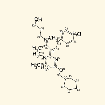 C=CN(C)C(/N=C(\C)OCC1CCCCC1)=C(/CCc1ccc(Cl)cc1)C(=C)N(C)CCCO